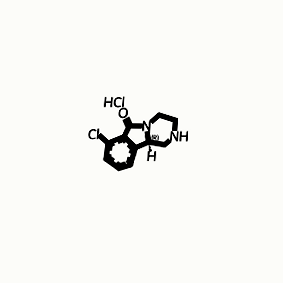 Cl.O=C1c2c(Cl)cccc2[C@@H]2CNCCN12